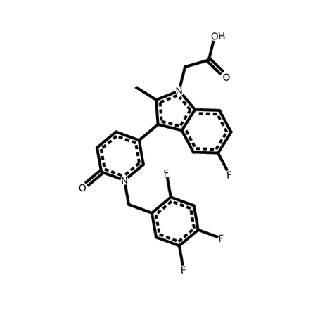 Cc1c(-c2ccc(=O)n(Cc3cc(F)c(F)cc3F)c2)c2cc(F)ccc2n1CC(=O)O